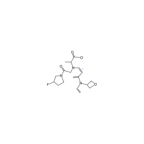 C=CN(C(=C)/C=C\N(CC(=O)N1CCC(F)C1)C(C)C(=O)Cl)C1COC1